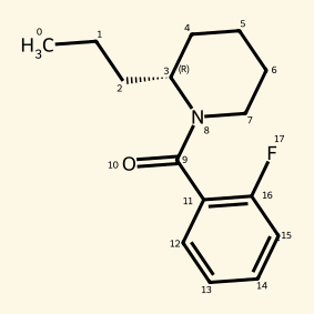 CCC[C@@H]1CCCCN1C(=O)c1ccc[c]c1F